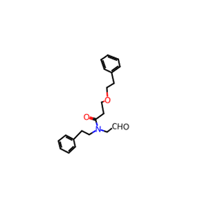 O=CCN(CCc1ccccc1)C(=O)CCOCCc1ccccc1